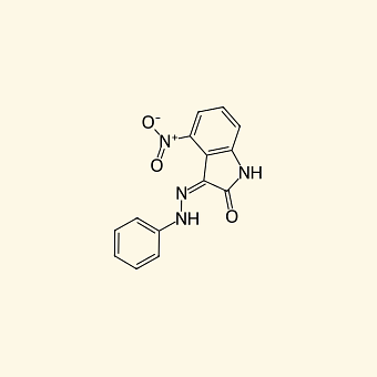 O=C1Nc2cccc([N+](=O)[O-])c2/C1=N/Nc1ccccc1